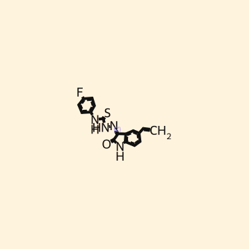 C=Cc1ccc2c(c1)/C(=N/NC(=S)Nc1ccc(F)cc1)C(=O)N2